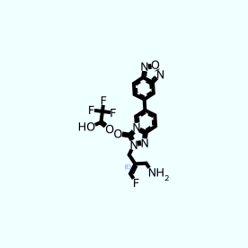 NC/C(=C\F)Cn1nc2ccc(-c3ccc4nonc4c3)cn2c1=O.O=C(O)C(F)(F)F